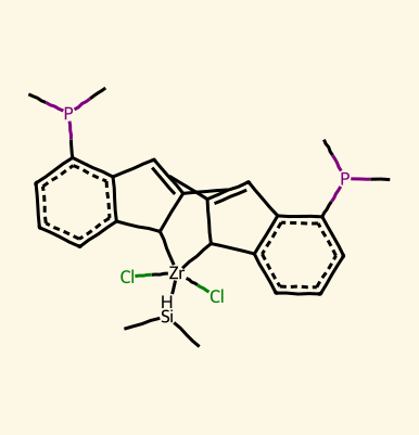 CC1=Cc2c(cccc2P(C)C)[CH]1[Zr]([Cl])([Cl])([CH]1C(C)=Cc2c1cccc2P(C)C)[SiH](C)C